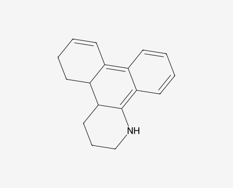 C1=CC2=c3ccccc3=C3NCCCC3C2CC1